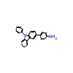 Nc1ccc(-c2ccc3c(c2)c2c(n3-c3ccccc3)=CCCC=2)cc1